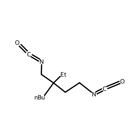 CCCCC(CC)(CCN=C=O)CN=C=O